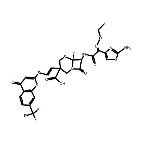 Nc1nc(C(=NOCF)C(=O)NC2C(=O)N3CC(C=CSc4cc(=O)c5ccc(C(F)(F)F)cc5s4)(C(=O)O)CS[C@H]23)cs1